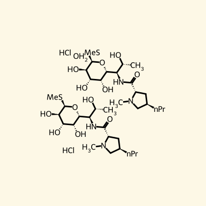 CCC[C@@H]1C[C@@H](C(=O)N[C@@H]([C@H]2O[C@H](SC)[C@H](O)[C@@H](O)[C@H]2O)[C@@H](C)O)N(C)C1.CCC[C@@H]1C[C@@H](C(=O)N[C@@H]([C@H]2O[C@H](SC)[C@H](O)[C@@H](O)[C@H]2O)[C@@H](C)O)N(C)C1.Cl.Cl.O